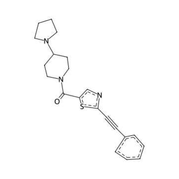 O=C(c1cnc(C#Cc2ccccc2)s1)N1CCC(N2CCCC2)CC1